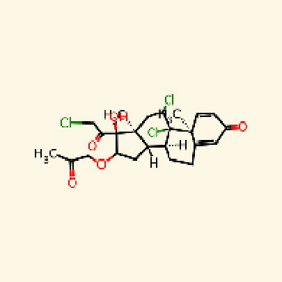 CC(=O)COC1C[C@H]2[C@@H]3CCC4=CC(=O)C=C[C@]4(C)[C@@]3(Cl)C(Cl)C[C@]2(C)[C@@]1(O)C(=O)CCl